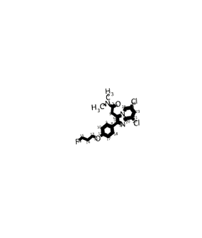 CN(C)C(=O)Cc1c(-c2ccc(OCCCF)cc2)nc2c(Cl)cc(Cl)cn12